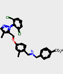 Cc1cc(OCc2c(C)cnn2-c2c(Cl)cccc2Cl)ccc1CNCc1ccc(C(=O)O)cc1